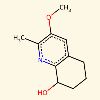 COc1cc2c(nc1C)C(O)CCC2